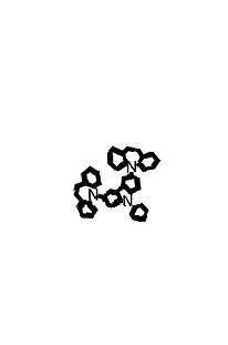 c1ccc(-n2c3ccc(N4c5ccccc5CCc5ccccc54)cc3c3cc(N4c5ccccc5CCc5ccccc54)ccc32)cc1